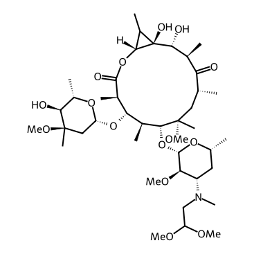 COC(CN(C)[C@H]1C[C@@H](C)O[C@@H](O[C@@H]2[C@@H](C)[C@H](O[C@@H]3C[C@@](C)(OC)[C@@H](O)[C@H](C)O3)[C@@H](C)C(=O)O[C@@H]3C(C)[C@]3(O)[C@H](O)[C@@H](C)C(=O)[C@H](C)C[C@]2(C)OC)[C@@H]1OC)OC